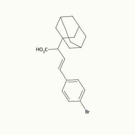 O=C(O)C(C=Cc1ccc(Br)cc1)C12CC3CC(CC(C3)C1)C2